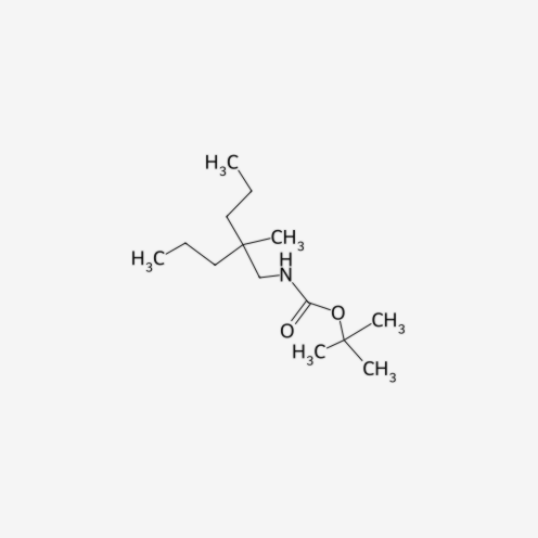 CCCC(C)(CCC)CNC(=O)OC(C)(C)C